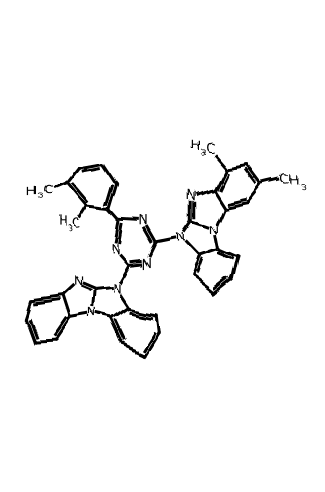 Cc1cc(C)c2nc3n(-c4nc(-c5cccc(C)c5C)nc(-n5c6ccccc6n6c7ccccc7nc56)n4)c4ccccc4n3c2c1